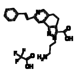 NCCCn1nc2c(c1C(=O)O)CCc1cnc(C=Cc3ccccc3)cc1-2.O=C(O)C(F)(F)F